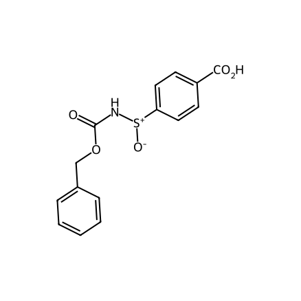 O=C(N[S+]([O-])c1ccc(C(=O)O)cc1)OCc1ccccc1